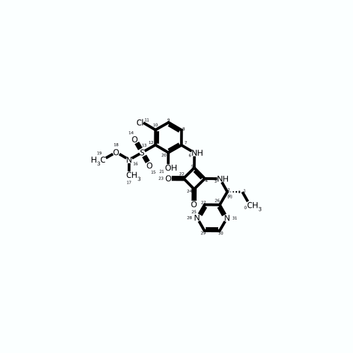 CC[C@@H](Nc1c(Nc2ccc(Cl)c(S(=O)(=O)N(C)OC)c2O)c(=O)c1=O)c1cnccn1